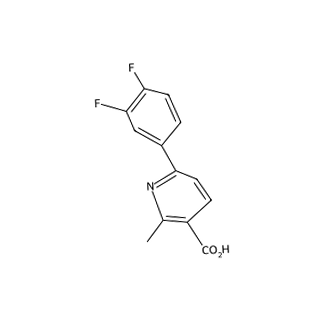 Cc1nc(-c2ccc(F)c(F)c2)ccc1C(=O)O